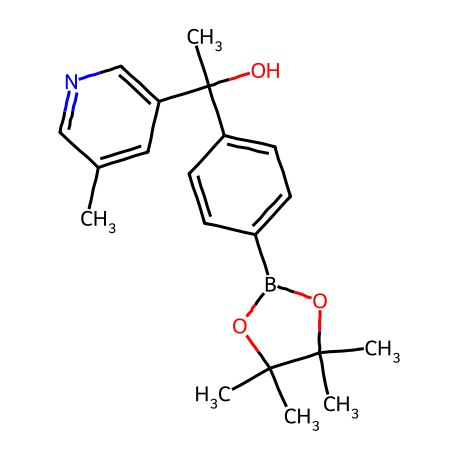 Cc1cncc(C(C)(O)c2ccc(B3OC(C)(C)C(C)(C)O3)cc2)c1